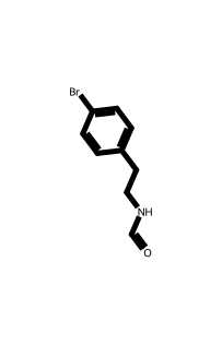 O=CNCCc1ccc(Br)cc1